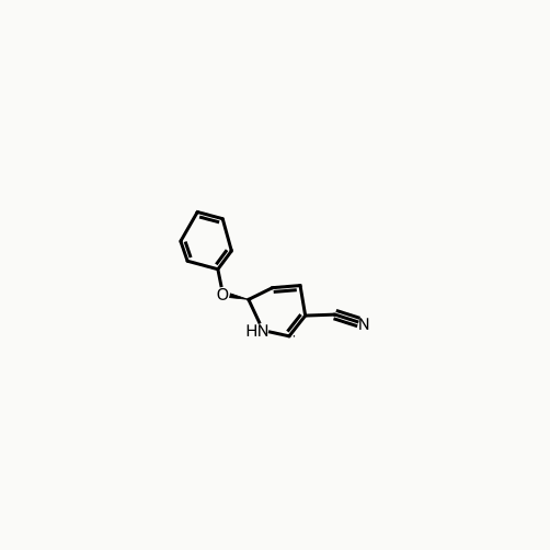 N#CC1=[C]N[C@@H](Oc2ccccc2)C=C1